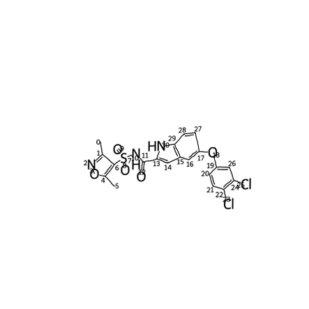 Cc1noc(C)c1S(=O)(=O)NC(=O)c1cc2cc(Oc3ccc(Cl)c(Cl)c3)ccc2[nH]1